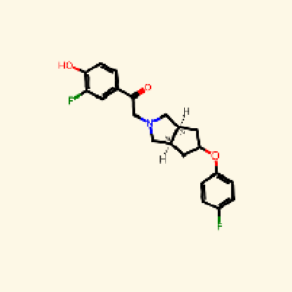 O=C(CN1C[C@H]2CC(Oc3ccc(F)cc3)C[C@H]2C1)c1ccc(O)c(F)c1